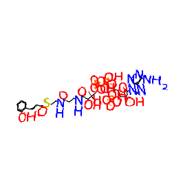 CC(C)(COP(=O)(O)OP(=O)(O)OC[C@H]1O[C@@H](n2cnc3c(N)ncnc32)[C@H](O)[C@@H]1OP(=O)(O)O)[C@@H](O)C(=O)NCCC(=O)NCCSC(=O)/C=C/c1ccccc1O